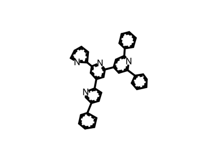 c1ccc(-c2ccc(-c3cc(-c4cc(-c5ccccc5)nc(-c5ccccc5)c4)nc(-c4ccccn4)c3)nc2)cc1